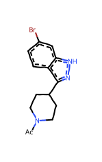 CC(=O)N1CCC(c2n[nH]c3cc(Br)ccc23)CC1